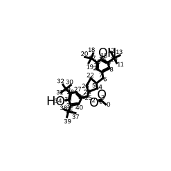 CC(=O)OC1C(Cc2cc(C(C)(C)C)c(O)c(C(C)(C)C)c2)CCC1Cc1cc(C(C)(C)C)c(O)c(C(C)(C)C)c1